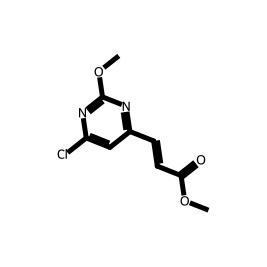 COC(=O)C=Cc1cc(Cl)nc(OC)n1